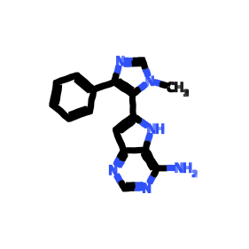 Cn1cnc(-c2ccccc2)c1-c1cc2ncnc(N)c2[nH]1